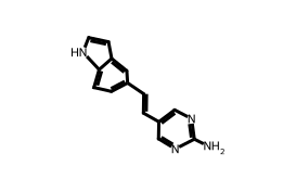 Nc1ncc(C=Cc2ccc3[nH]ccc3c2)cn1